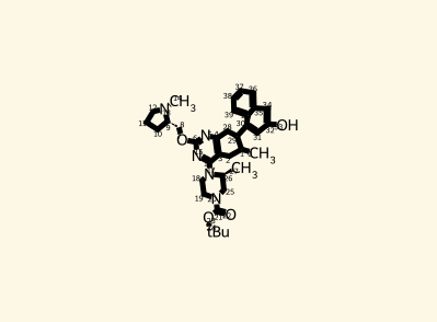 CC1Cc2c(nc(OC[C@@H]3CCCN3C)nc2N2CCN(C(=O)OC(C)(C)C)C[C@@H]2C)CC1c1cc(O)cc2ccccc12